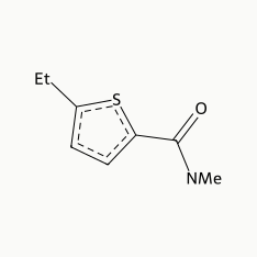 CCc1ccc(C(=O)NC)s1